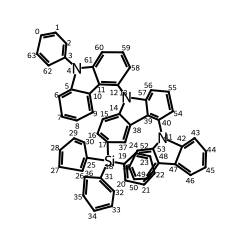 c1ccc(-n2c3ccccc3c3c(-n4c5ccc([Si](c6ccccc6)(c6ccccc6)c6ccccc6)cc5c5c(-n6c7ccccc7c7ccccc76)cccc54)cccc32)cc1